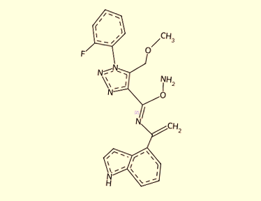 C=C(/N=C(\ON)c1nnn(-c2ccccc2F)c1COC)c1cccc2[nH]ccc12